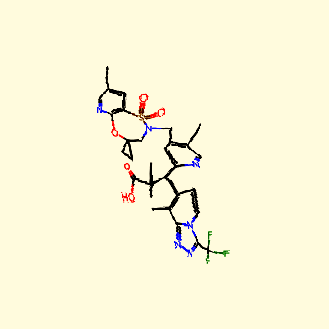 Cc1cnc2c(c1)S(=O)(=O)N(Cc1cc([C@@H](c3ccn4c(C(F)(F)F)nnc4c3C)C(C)(C)C(=O)O)ncc1C)CC1(CC1)O2